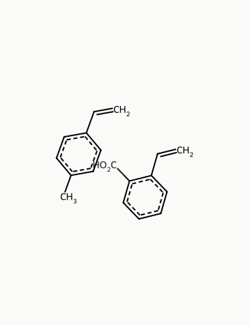 C=Cc1ccc(C)cc1.C=Cc1ccccc1C(=O)O